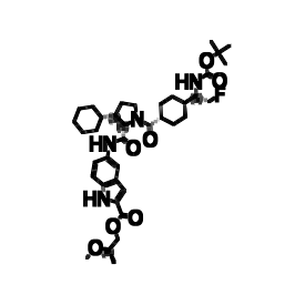 CO[C@H](C)COC(=O)c1cc2cc(NC(=O)[C@@H]3[C@H](C4CCCCC4)CCN3C(=O)[C@H]3CC[C@H]([C@@H](CF)NC(=O)OC(C)(C)C)CC3)ccc2[nH]1